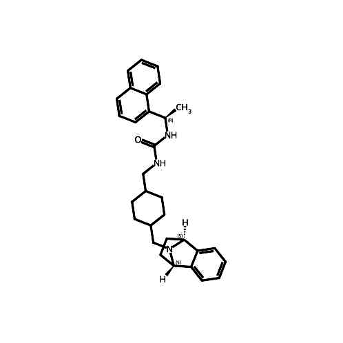 C[C@@H](NC(=O)NCC1CCC(CN2[C@H]3CC[C@H]2c2ccccc23)CC1)c1cccc2ccccc12